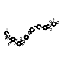 N#Cc1c(NS(=O)(=O)N2CC[C@@H](F)C2)ccc(F)c1Oc1ccc2ncn(-c3ccc(N4CC5(CCN(CC6CCN(c7ccc8c(c7)CN([C@@H]7CCC(=O)NC7=O)C8=O)CC6)CC5)C4)cc3)c(=O)c2c1